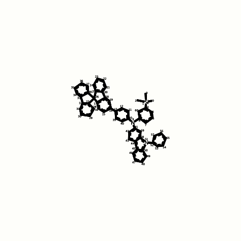 C[Si](C)(C)c1cccc(N(c2ccc(-c3ccc4c(c3)-c3ccccc3C43c4ccccc4-c4ccccc43)cc2)c2ccc3c4ccccc4n(-c4ccccc4)c3c2)c1